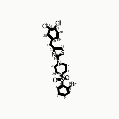 O=S(=O)(c1ccccc1Br)N1CCN(c2nc(Cc3ccc(Cl)c(Cl)c3)cs2)CC1